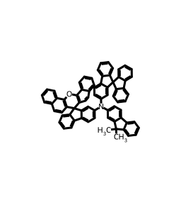 CC1(C)c2ccccc2-c2ccc(N(c3ccc4c(c3)C3(c5ccccc5-c5ccccc53)c3ccccc3-4)c3ccc4c(c3)C3(c5ccccc5-4)c4ccc5ccccc5c4Oc4c3ccc3ccccc43)cc21